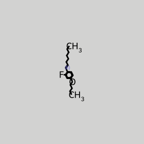 CCCCCC/C=C/c1ccc(OCCCC)cc1F